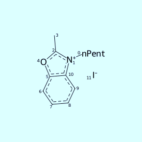 CCCCC[n+]1c(C)oc2ccccc21.[I-]